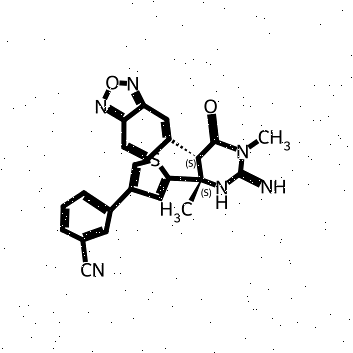 CN1C(=N)N[C@](C)(c2cc(-c3cccc(C#N)c3)cs2)[C@H](c2ccc3nonc3c2)C1=O